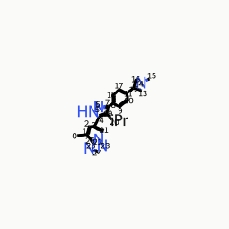 Cc1cc(-c2[nH]nc(-c3ccc(C4CN(C)C4)cc3)c2C(C)C)cn2ncnc12